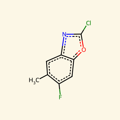 Cc1cc2nc(Cl)oc2cc1F